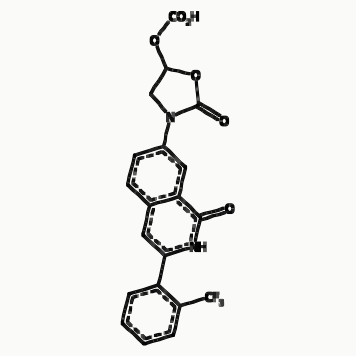 O=C(O)OC1CN(c2ccc3cc(-c4ccccc4C(F)(F)F)[nH]c(=O)c3c2)C(=O)O1